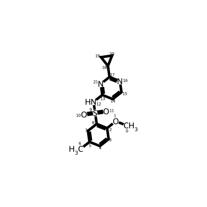 COc1ccc(C)cc1S(=O)(=O)Nc1ccnc(C2CC2)n1